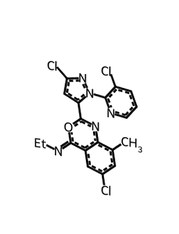 CCN=c1oc(-c2cc(Cl)nn2-c2ncccc2Cl)nc2c(C)cc(Cl)cc12